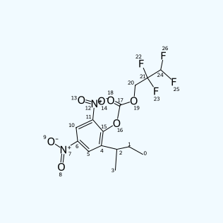 CCC(C)c1cc([N+](=O)[O-])cc([N+](=O)[O-])c1OC(=O)OCC(F)(F)C(F)F